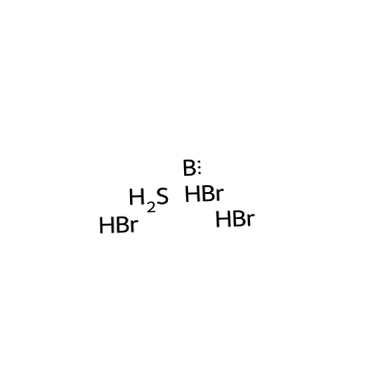 Br.Br.Br.S.[B]